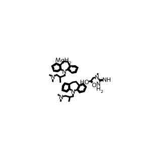 CC(CN(C)C)CN1c2ccccc2CCc2ccccc21.CC(CN(C)C)CN1c2ccccc2CCc2ccccc21.CN(CC(=O)O)C(=N)N.[MgH2]